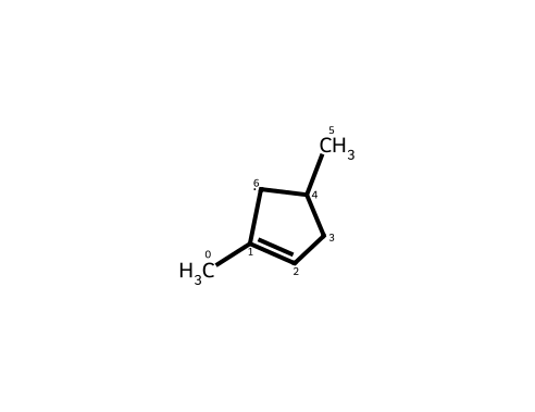 CC1=CCC(C)[CH]1